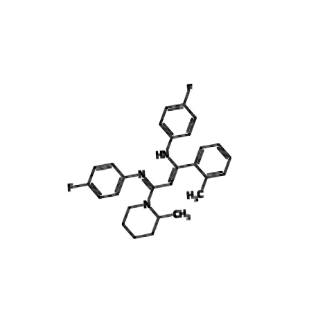 Cc1ccccc1C(=CC(=Nc1ccc(F)cc1)N1CCCCC1C)Nc1ccc(F)cc1